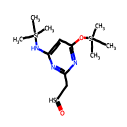 C[Si](C)(C)Nc1cc(O[Si](C)(C)C)nc(C[SiH]=O)n1